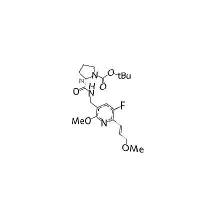 COCC=Cc1nc(OC)c(CNC(=O)[C@@H]2CCCN2C(=O)OC(C)(C)C)cc1F